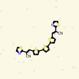 N#C/C(=C\c1ccc(-c2ccc(-c3ccc(/C=C(\C#N)c4nccs4)s3)s2)s1)c1nccs1